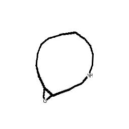 C1CCCCCNCCC2OC2CCCCC1